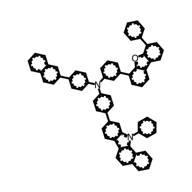 c1ccc(-c2cccc3c2oc2c(-c4cccc(N(c5ccc(-c6ccc7ccccc7c6)cc5)c5ccc(-c6ccc7c8ccc9ccccc9c8n(-c8ccccc8)c7c6)cc5)c4)cccc23)cc1